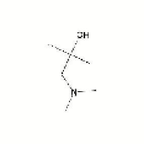 [CH2]C(C)(O)CN(C)C